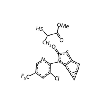 COC(=O)C(C)S.O=c1sc2cc3cc-3c2n1-c1ncc(C(F)(F)F)cc1Cl